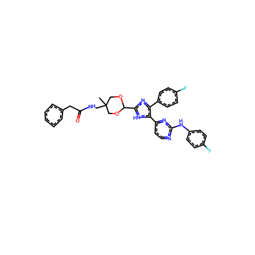 CC1(CNC(=O)Cc2ccccc2)COC(c2nc(-c3ccc(F)cc3)c(-c3ccnc(Nc4ccc(F)cc4)n3)[nH]2)OC1